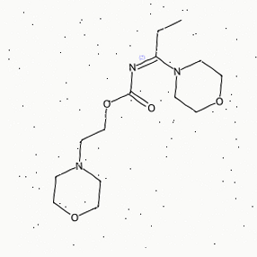 CC/C(=N/C(=O)OCCN1CCOCC1)N1CCOCC1